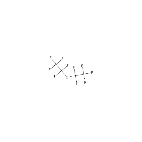 FC(F)(F)C(F)(F)OC(F)(F)C(F)(F)F